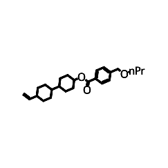 C=CC1CCC(C2CCC(OC(=O)c3ccc(COCCC)cc3)CC2)CC1